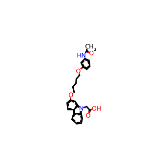 CC(=O)Nc1cccc(OCCCCCOc2ccc3c4ccccc4n(CC(=O)O)c3c2)c1